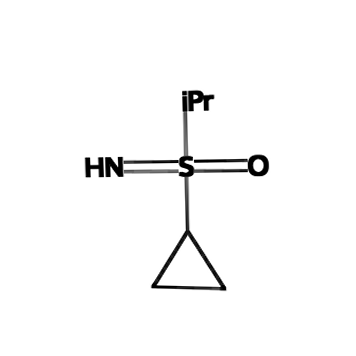 CC(C)S(=N)(=O)C1CC1